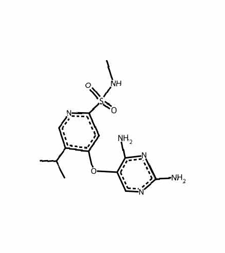 CNS(=O)(=O)c1cc(Oc2cnc(N)nc2N)c(C(C)C)cn1